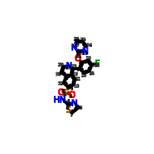 O=S(=O)(Nc1nccs1)c1ccc2c(-c3ccc(F)cc3Oc3ncccn3)nccc2c1